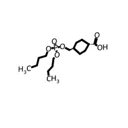 CCCCOP(=O)(OCCCC)OC[C@H]1CC[C@H](C(=O)O)CC1